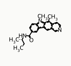 CC[C@H](C)NC(=O)c1ccc2c(c1)c1cc3cnccc3c(C)c1n2C